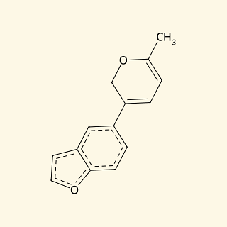 CC1=CC=C(c2ccc3occc3c2)CO1